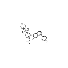 Cc1cc2c(cnn2-c2ccc(F)cc2)cc1[C@H]1CN(S(=O)(=O)N2CCOCC2)CCN1CC(C)C